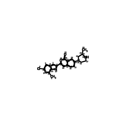 Cc1nc(Cl)cn2cc(-c3cc4ccc(N5CCN[C@H](C)C5)cc4c(=O)o3)nc12